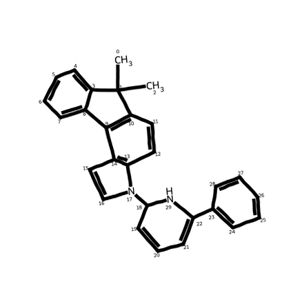 CC1(C)c2ccccc2-c2c1ccc1c2ccn1C1C=CC=C(c2ccccc2)N1